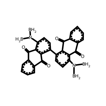 BN(B)c1ccc(-c2ccc(N(B)B)c3c2C(=O)c2ccccc2C3=O)c2c1C(=O)c1ccccc1C2=O